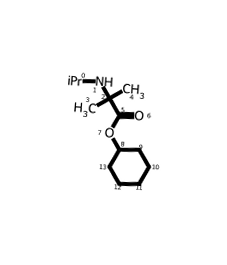 CC(C)NC(C)(C)C(=O)OC1CCCCC1